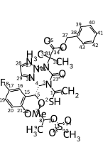 C=C(S)N(C[C@H](OCC(C)OS(C)(=O)=O)c1cc(F)ccc1OC)C(=O)N(n1nccn1)C(C)(C)C(=O)OCc1ccccc1